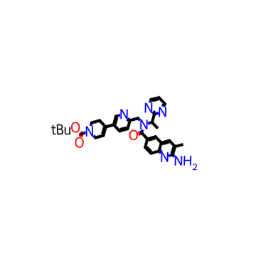 Cc1cc2cc(C(=O)N(Cc3ccc(C4=CCN(C(=O)OC(C)(C)C)CC4)cn3)C(C)c3ncccn3)ccc2nc1N